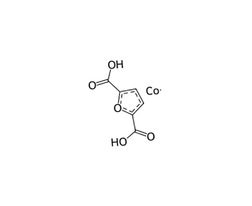 O=C(O)c1ccc(C(=O)O)o1.[Co]